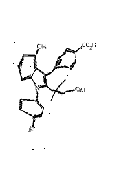 CC(C)(CO)c1c(-c2ccc(C(=O)O)cc2)c2c(O)cccc2n1-c1ccc(F)cc1